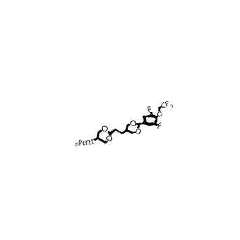 CCCCCC1COC(CCC2COC(c3cc(F)c(OCC(F)(F)F)c(F)c3)OC2)OC1